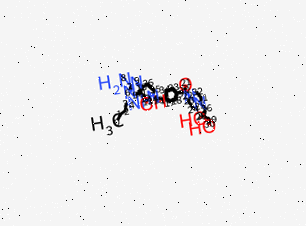 CCCCNc1nc(N)nc2c1C(O)N(Cc1ccc(C(=O)N3CCN(CC(O)CO)CC3)cc1)C=C2